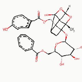 C[C@@]12O[C@H]3O[C@@]4(O)C5CC1(O[C@@H]1O[C@H](COC(=O)c6ccccc6)[C@@H](O)[C@H](O)[C@H]1O)[C@]5(COC(=O)c1ccc(O)cc1)C324